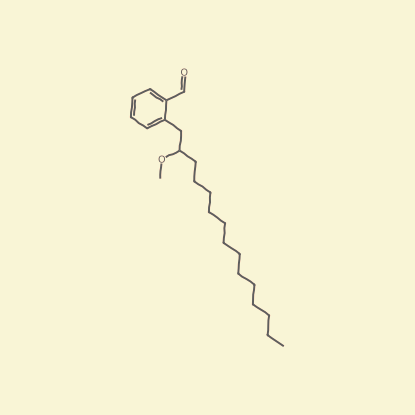 CCCCCCCCCCCCCC(Cc1ccccc1C=O)OC